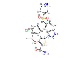 CC(Oc1cc(-n2cnc3ccc(CS(=O)(=O)C4CCNCC4)cc32)sc1C(N)=O)c1ccccc1Cl